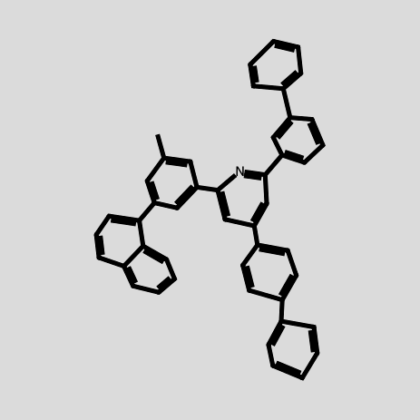 Cc1cc(-c2cc(-c3ccc(-c4ccccc4)cc3)cc(-c3cccc(-c4ccccc4)c3)n2)cc(-c2cccc3ccccc23)c1